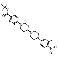 CC(C)(C)OC(=O)c1ccc(N2CCC(N3CCN(c4ccc([N+](=O)[O-])c(F)c4)CC3)CC2)nn1